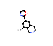 Cc1cc(-c2ncco2)cc2c1CNCC2